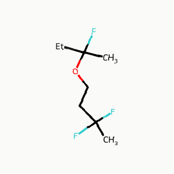 CCC(C)(F)OCCC(C)(F)F